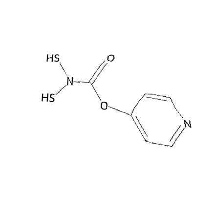 O=C(Oc1ccncc1)N(S)S